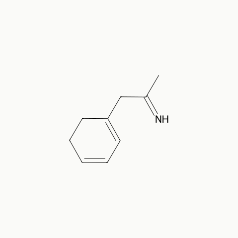 CC(=N)CC1=CC=CCC1